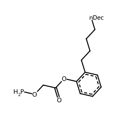 CCCCCCCCCCCCCCc1ccccc1OC(=O)COP